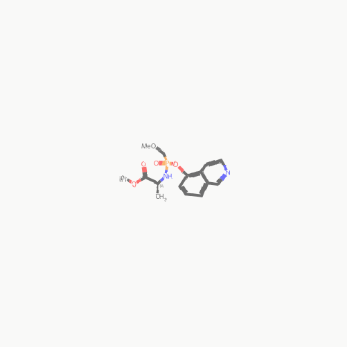 COCP(=O)(N[C@@H](C)C(=O)OC(C)C)Oc1cccc2cnccc12